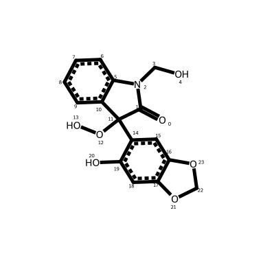 O=C1N(CO)c2ccccc2C1(OO)c1cc2c(cc1O)OCO2